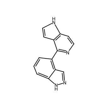 c1cc(-c2nccc3[nH]ccc23)c2cn[nH]c2c1